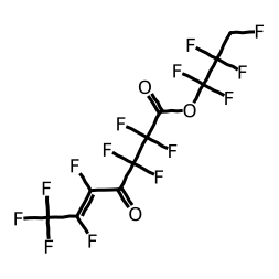 O=C(OC(F)(F)C(F)(F)CF)C(F)(F)C(F)(F)C(=O)C(F)=C(F)C(F)(F)F